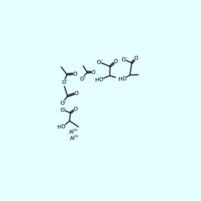 CC(=O)[O-].CC(=O)[O-].CC(=O)[O-].CC(O)C(=O)[O-].CC(O)C(=O)[O-].CC(O)C(=O)[O-].[Al+3].[Al+3]